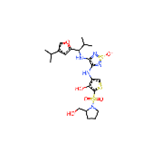 CC(C)c1coc([C@H](Nc2n[s+]([O-])nc2Nc2csc(S(=O)(=O)N3CCCC3CO)c2O)C(C)C)c1